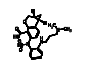 CN(C)CCCNc1ccccc1N(c1ccc2c(c1C(=O)O)OC[C@@H]1C[C@H]21)[SH](=O)=O